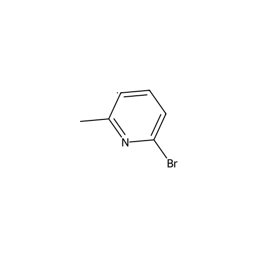 Cc1[c]ccc(Br)n1